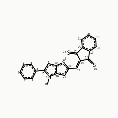 Cn1c(-c2ccccc2)cc2sc(C=C3C(=S)c4ccccc4C3=S)cc21